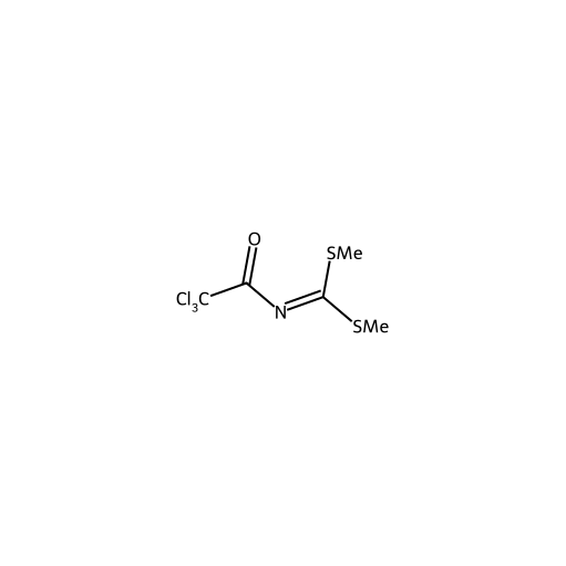 CSC(=NC(=O)C(Cl)(Cl)Cl)SC